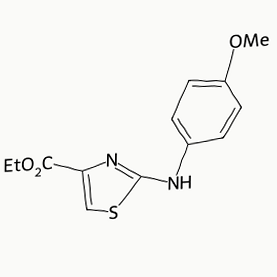 CCOC(=O)c1csc(Nc2ccc(OC)cc2)n1